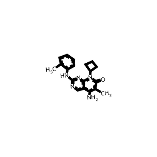 Cc1ccccc1Nc1ncc2c(N)c(C)c(=O)n(C3CCC3)c2n1